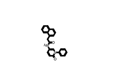 O=C(Cc1cccc2ccccc12)Nc1ccc(=O)n(-c2ccccc2)c1